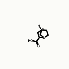 O=C(O)C1C[C@@H]2CCN1C2